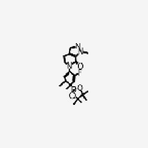 CC1C=C(N2CCc3cnn(C)c3C2=O)C(F)=CC1(C)B1OC(C)(C)C(C)(C)O1